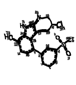 CCS(=O)(=O)c1cccc(-c2ccc(O)c3[nH]c4c(c23)=CC(Cl)CN=4)c1